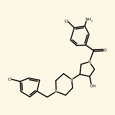 Nc1cc(C(=O)N2CC(O)C(N3CCN(Cc4ccc(Cl)cc4)CC3)C2)ccc1Cl